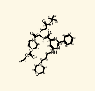 CCOC(=O)N1CCN(C(=O)[C@H](CCC(=O)OC(C)(C)C)NC(=O)c2cc(NCCCN3CCOCC3)nc(-c3ccccc3)n2)CC1